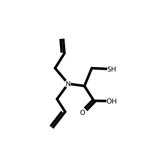 C=CCN(CC=C)C(CS)C(=O)O